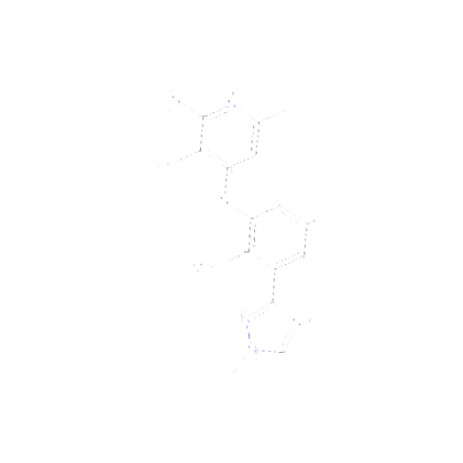 COc1c(Nc2cc(Cl)nc(N)c2C(=O)O)cccc1-c1ncn(C)n1